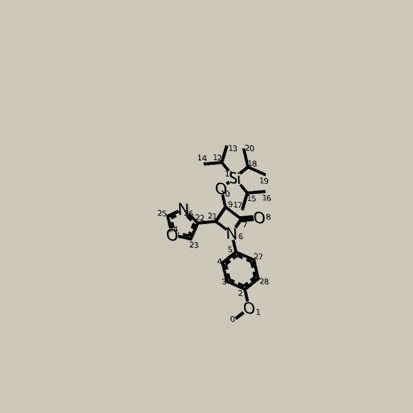 COc1ccc(N2C(=O)C(O[Si](C(C)C)(C(C)C)C(C)C)C2c2cocn2)cc1